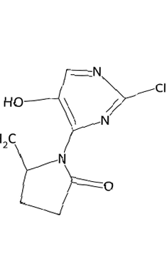 [CH2]C1CCC(=O)N1c1nc(Cl)ncc1O